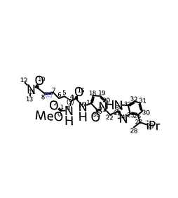 COC(=O)N[C@@H](CC/C=C/C(=O)N(C)C)C(=O)Nc1cccn(Cc2nc3c(C(C)C(C)C)cccc3[nH]2)c1=O